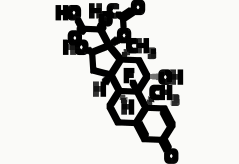 CC(=O)O[C@]1(C(=O)C(=O)O)[C@H](O)C[C@H]2[C@@H]3CCC4=CC(=O)C=C[C@]4(C)C3(F)[C@@H](O)C[C@@]21C